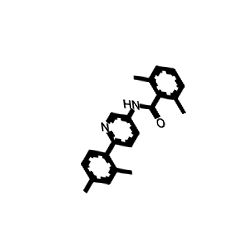 Cc1ccc(-c2ccc(NC(=O)c3c(C)cccc3C)cn2)c(C)c1